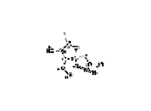 CC(C)OC[C@@]1(N=[N+]=[N-])O[C@@H](C)[C@@H](O)C1OC(C)C